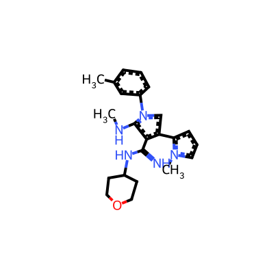 CNc1c(C(=N)NC2CCOCC2)c(-c2cccn2C)cn1-c1cccc(C)c1